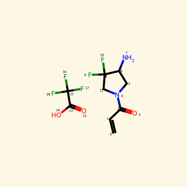 C=CC(=O)N1CC(N)C(F)(F)C1.O=C(O)C(F)(F)F